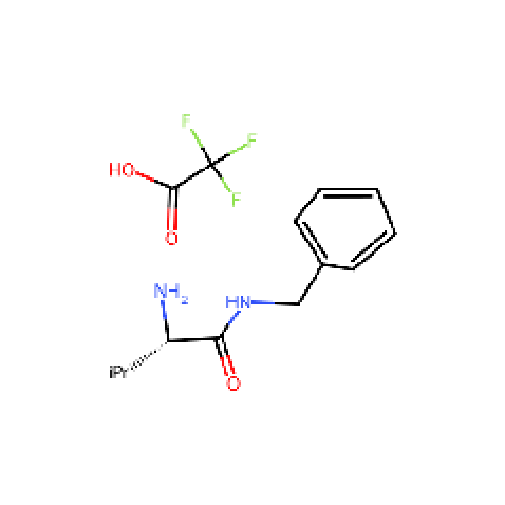 CC(C)[C@H](N)C(=O)NCc1ccccc1.O=C(O)C(F)(F)F